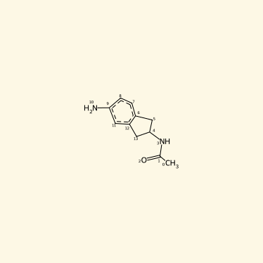 CC(=O)NC1Cc2ccc(N)cc2C1